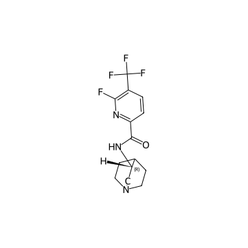 O=C(N[C@H]1CN2CCC1CC2)c1ccc(C(F)(F)F)c(F)n1